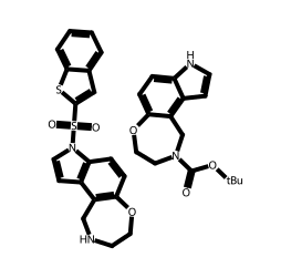 CC(C)(C)OC(=O)N1CCOc2ccc3[nH]ccc3c2C1.O=S(=O)(c1cc2ccccc2s1)n1ccc2c3c(ccc21)OCCNC3